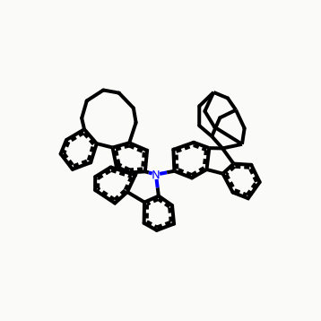 c1ccc(-c2ccccc2N(c2ccc3c(c2)CCCCCCc2ccccc2-3)c2ccc3c(c2)-c2ccccc2C32C3CCC4CCC2CC(C4)C3)cc1